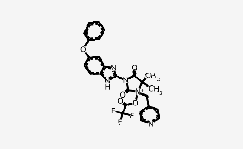 CC1(C)C(=O)N(c2nc3cc(Oc4ccccc4)ccc3[nH]2)C(=O)[N+]1(Cc1ccncc1)OC(=O)C(F)(F)F